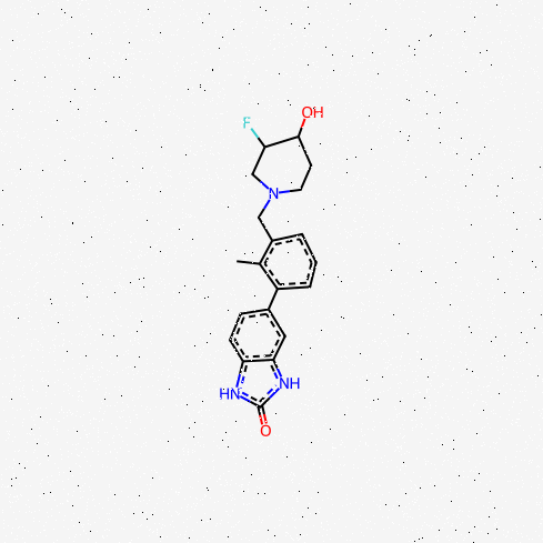 Cc1c(CN2CCC(O)C(F)C2)cccc1-c1ccc2[nH]c(=O)[nH]c2c1